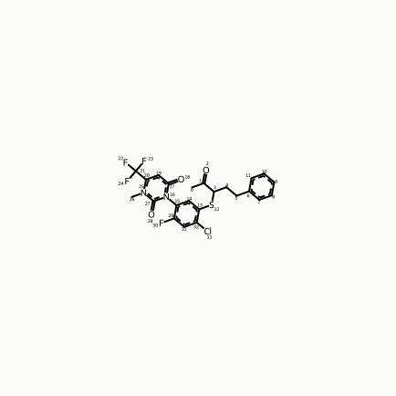 CC(=O)C(CCc1ccccc1)Sc1cc(-n2c(=O)cc(C(F)(F)F)n(C)c2=O)c(F)cc1Cl